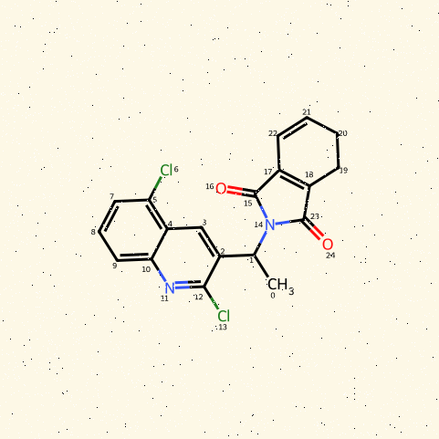 CC(c1cc2c(Cl)cccc2nc1Cl)N1C(=O)C2=C(CCC=C2)C1=O